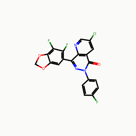 O=c1c2cc(Cl)cnc2c(-c2cc3c(c(F)c2F)OCO3)nn1-c1ccc(F)cc1